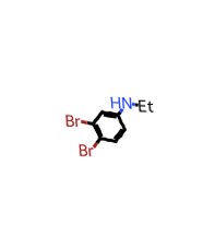 CCNc1ccc(Br)c(Br)c1